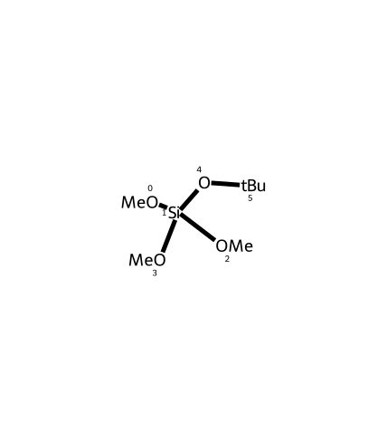 CO[Si](OC)(OC)OC(C)(C)C